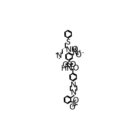 CN(C)CC[C@H](CSc1ccccc1)Nc1ccc(S(=O)(=O)NC(=O)c2ccc(N3CCN(Cc4ccccc4S(C)(=O)=O)CC3)cc2)cc1[N+](=O)[O-]